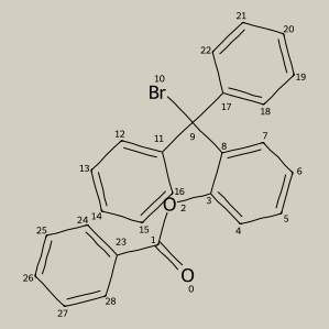 O=C(Oc1ccccc1C(Br)(c1ccccc1)c1ccccc1)c1ccccc1